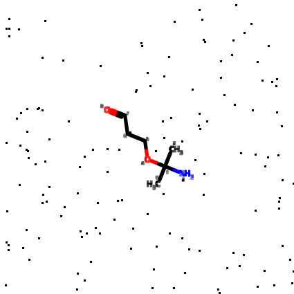 CC(C)(N)OCCC=O